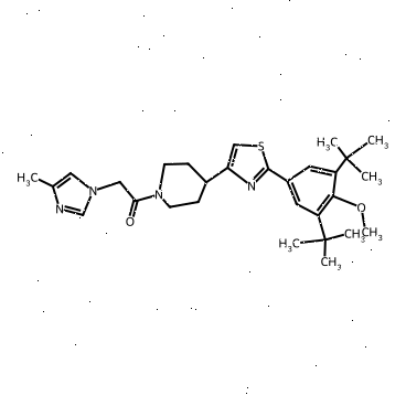 COc1c(C(C)(C)C)cc(-c2nc(C3CCN(C(=O)Cn4cnc(C)c4)CC3)cs2)cc1C(C)(C)C